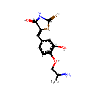 NC(COc1ccc(/C=C2\SC(=S)NC2=O)cc1O)C(F)(F)F